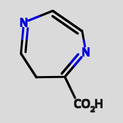 O=C(O)C1=NC=CN=CC1